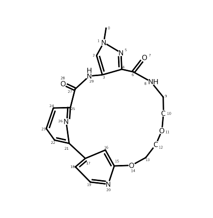 Cn1cc2c(n1)C(=O)NCCOCCOc1cc(ccn1)-c1cccc(n1)C(=O)N2